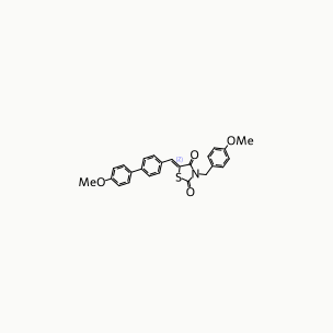 COc1ccc(CN2C(=O)S/C(=C\c3ccc(-c4ccc(OC)cc4)cc3)C2=O)cc1